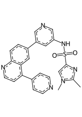 Cc1nc(S(=O)(=O)Nc2cncc(-c3ccc4nccc(-c5ccncc5)c4c3)c2)cn1C